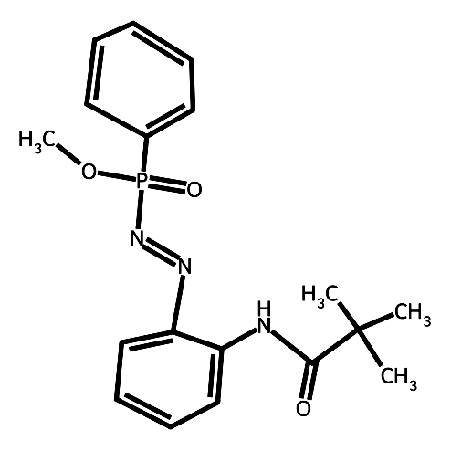 COP(=O)(N=Nc1ccccc1NC(=O)C(C)(C)C)c1ccccc1